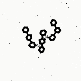 c1ccc(-c2ccc(-c3cccc(-n4c5ccccc5c5cc6c(cc54)c4ccccc4n6-c4cccc(-c5cccc(-c6ccccc6)c5)c4)c3)cc2)cc1